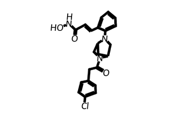 O=C(/C=C/c1ccccc1N1CC2CC1CN2C(=O)Cc1ccc(Cl)cc1)NO